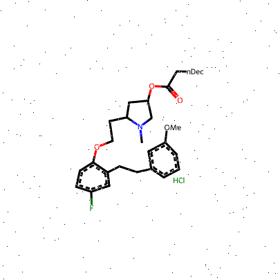 CCCCCCCCCCCC(=O)OC1CC(CCOc2ccc(F)cc2CCc2cccc(OC)c2)N(C)C1.Cl